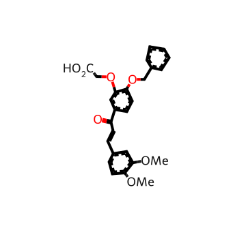 COc1ccc(C=CC(=O)c2ccc(OCc3ccccc3)c(OCC(=O)O)c2)cc1OC